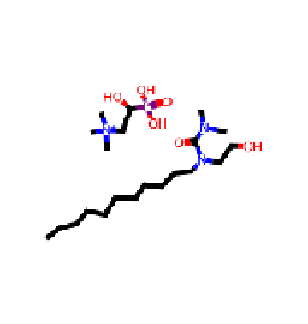 CCCCCCCCCCCN(CCO)C(=O)N(C)C.C[N+](C)(C)CC(O)P(=O)(O)O